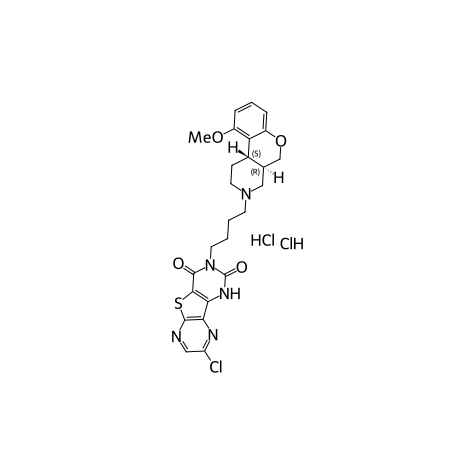 COc1cccc2c1[C@H]1CCN(CCCCn3c(=O)[nH]c4c(sc5ncc(Cl)nc54)c3=O)C[C@@H]1CO2.Cl.Cl